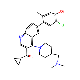 Cc1cc(O)c(Cl)cc1-c1ccc2ncc(C(=O)C3CC3)c(N3CCC(CN(C)C)CC3)c2c1